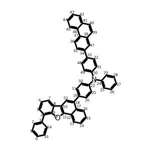 c1ccc(-c2cccc3c2oc2c4ccccc4c(-c4ccc(N(c5ccccc5)c5ccc(-c6ccc7c(ccc8ccccc87)c6)cc5)cc4)cc32)cc1